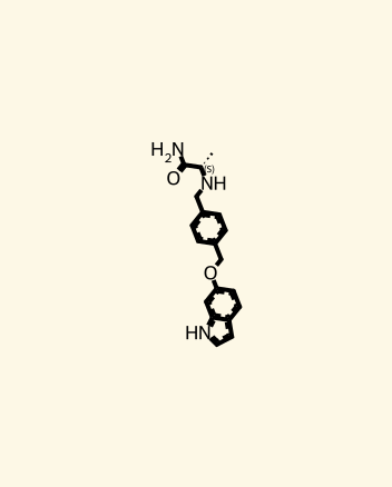 C[C@H](NCc1ccc(COc2ccc3cc[nH]c3c2)cc1)C(N)=O